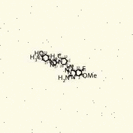 COc1cc2nc(N)n3nc([C@H]4CC[C@@H](C)N(c5cnn(C6CCC(C)(O)CC6)c5)C4)nc3c2cc1F